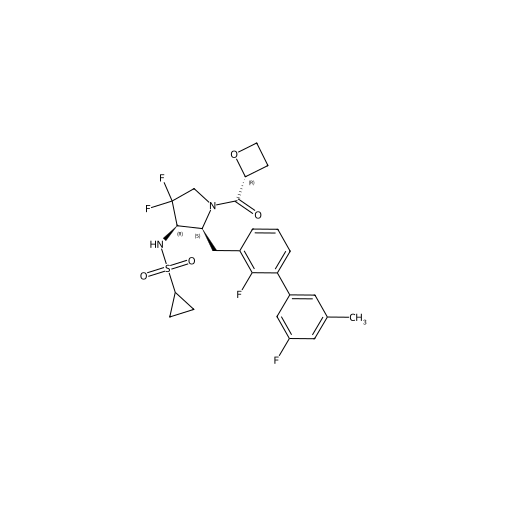 Cc1cc(F)cc(-c2cccc(C[C@H]3[C@@H](NS(=O)(=O)C4CC4)C(F)(F)CN3C(=O)[C@H]3CCO3)c2F)c1